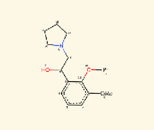 COc1cccc(C(O)CN2CCCC2)c1OC(C)C